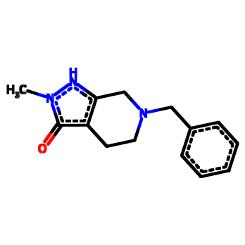 Cn1[nH]c2c(c1=O)CCN(Cc1ccccc1)C2